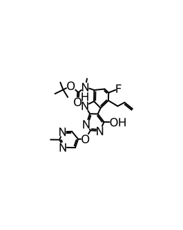 C=CCc1c(F)cc(N(C)C(=O)OC(C)(C)C)c2[nH]c3nc(Oc4cnc(C)nc4)nc(O)c3c12